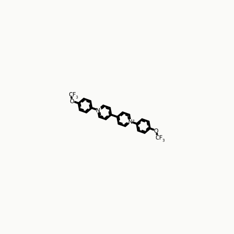 FC(F)(F)Oc1ccc(-[n+]2ccc(-c3cc[n+](-c4ccc(OC(F)(F)F)cc4)cc3)cc2)cc1